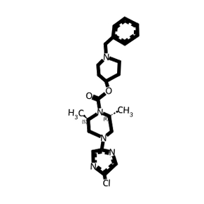 C[C@@H]1CN(c2cnc(Cl)cn2)C[C@H](C)N1C(=O)OC1CCN(Cc2ccccc2)CC1